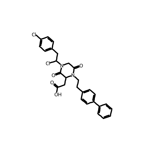 O=C(O)CC1C(=O)N(C(Cl)Cc2ccc(Cl)cc2)CC(=O)N1CCc1ccc(-c2ccccc2)cc1